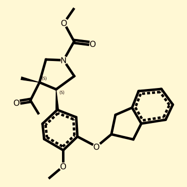 COC(=O)N1C[C@@H](c2ccc(OC)c(OC3Cc4ccccc4C3)c2)[C@](C)(C(C)=O)C1